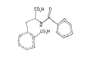 O=C(NC(Cc1ccccc1C(=O)O)C(=O)O)c1ccccc1